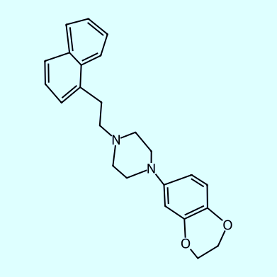 c1ccc2c(CCN3CCN(c4ccc5c(c4)OCCO5)CC3)cccc2c1